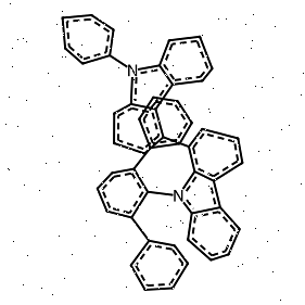 c1ccc(-c2cccc(-c3ccccc3)c2-n2c3ccccc3c3cccc(-c4cccc5c4c4ccccc4n5-c4ccccc4)c32)cc1